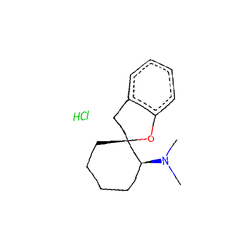 CN(C)[C@H]1CCCC[C@]12Cc1ccccc1O2.Cl